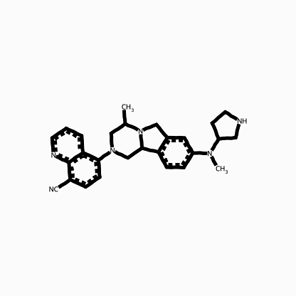 CC1CN(c2ccc(C#N)c3ncccc23)CC2c3ccc(N(C)C4CCNC4)cc3CN12